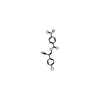 N#C/C(=C\OC(=O)c1ccc([N+](=O)[O-])cc1)c1ccc(Cl)cc1